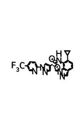 Cn1ncc2ccc(C3CC3)c(NS(=O)(=O)c3cnn(-c4ccc(C(F)(F)F)cn4)c3)c21